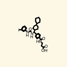 O=C(O)CCNC(=O)c1ccc(C(NC(=O)Nc2cccc(I)c2)C2CCC(C3CCCCC3)CC2)cc1